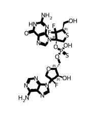 Nc1nc2c(ncn2[C@]2(OP(O)(=S)OC[C@H]3OC[C@@](F)(n4cnc5c(N)ncnc54)[C@@H]3O)CS[C@H](CO)C2(F)F)c(=O)[nH]1